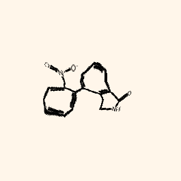 O=C1NCc2c1cccc2-c1ccccc1[N+](=O)[O-]